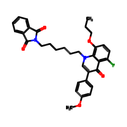 CCCOc1ccc(F)c2c(=O)c(-c3ccc(OC)cc3)cn(CCCCCCN3C(=O)c4ccccc4C3=O)c12